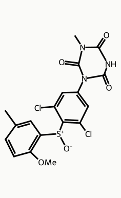 COc1ccc(C)cc1[S+]([O-])c1c(Cl)cc(-n2c(=O)[nH]c(=O)n(C)c2=O)cc1Cl